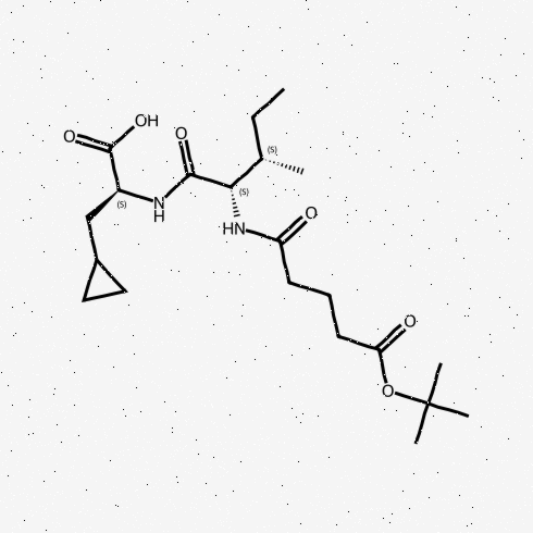 CC[C@H](C)[C@H](NC(=O)CCCC(=O)OC(C)(C)C)C(=O)N[C@@H](CC1CC1)C(=O)O